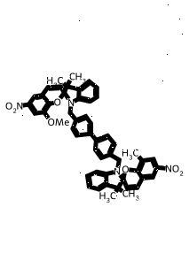 COc1cc([N+](=O)[O-])cc2c1OC1(C=C2)N(Cc2ccc(-c3ccc(CN4c5ccccc5C(C)(C)C45C=Cc4cc([N+](=O)[O-])cc(C)c4O5)cc3)cc2)c2ccccc2C1(C)C